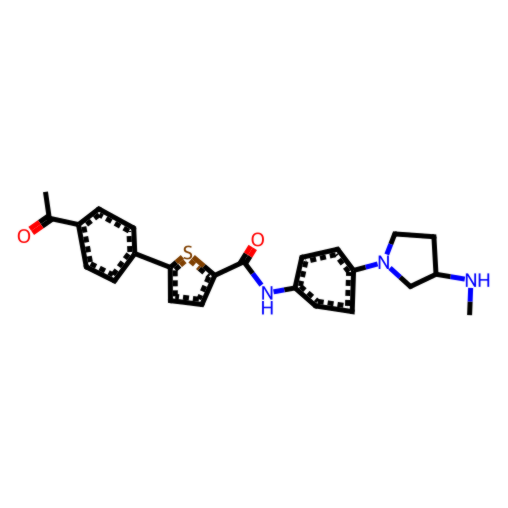 CNC1CCN(c2ccc(NC(=O)c3ccc(-c4ccc(C(C)=O)cc4)s3)cc2)C1